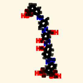 Cc1cc(N=Nc2cc(O)c(N=Nc3ccc4cc(-n5nc6ccc7c(S(=O)(=O)O)cc(S(=O)(=O)O)cc7c6n5)ccc4c3O)cc2CO)c(C)cc1N=Nc1ccc2cccc(S(=O)(=O)O)c2c1